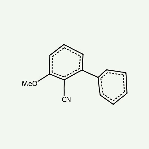 COc1cccc(-c2ccccc2)c1C#N